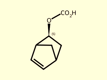 O=C(O)O[C@H]1CC2C=CC1C2